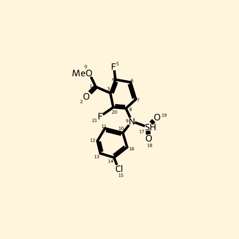 COC(=O)c1c(F)ccc(N(c2cccc(Cl)c2)[SH](=O)=O)c1F